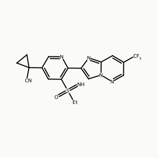 CCS(=N)(=O)c1cc(C2(C#N)CC2)cnc1-c1cn2ncc(C(F)(F)F)cc2n1